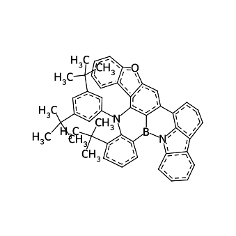 CC(C)(C)c1cc(N2c3c(cccc3C(C)(C)C)B3c4c(cc5oc6ccccc6c5c42)-c2cccc4c5ccccc5n3c24)cc(C(C)(C)C)c1